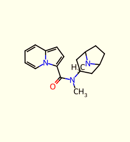 CN(C(=O)c1ccc2ccccn12)C1CC2CCC(C1)N2C